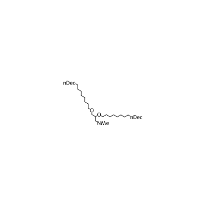 CCCCCCCCCCCCCCCCCCOCC(CNC)OCCCCCCCCCCCCCCCCCC